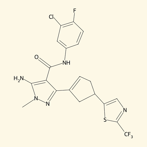 Cn1nc(C2=CCC(c3cnc(C(F)(F)F)s3)C2)c(C(=O)Nc2ccc(F)c(Cl)c2)c1N